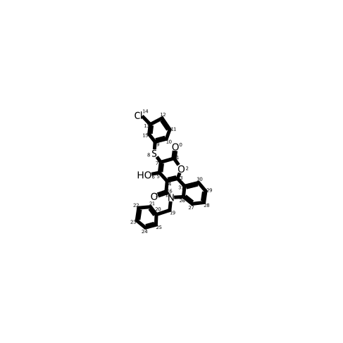 O=c1oc2c(c(O)c1Sc1cccc(Cl)c1)c(=O)n(Cc1ccccc1)c1ccccc21